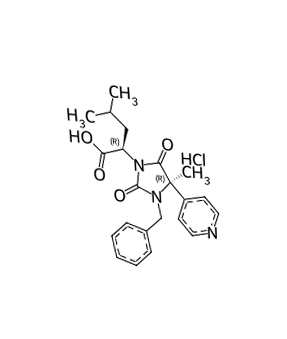 CC(C)C[C@H](C(=O)O)N1C(=O)N(Cc2ccccc2)[C@](C)(c2ccncc2)C1=O.Cl